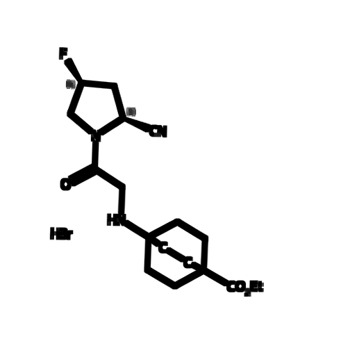 Br.CCOC(=O)C12CCC(NCC(=O)N3C[C@@H](F)C[C@H]3C#N)(CC1)CC2